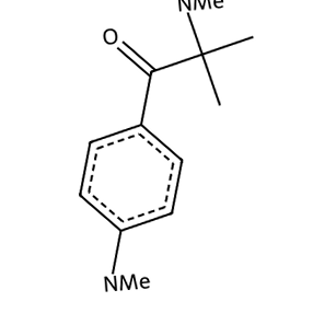 CNc1ccc(C(=O)C(C)(C)NC)cc1